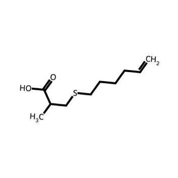 C=CCCCCSCC(C)C(=O)O